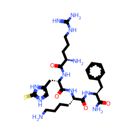 N=C(N)NCCC[C@@H](N)C(=O)N[C@@H](Cc1c[nH]c(=S)[nH]1)C(=O)N[C@@H](CCCCN)C(=O)N[C@@H](Cc1ccccc1)C(N)=O